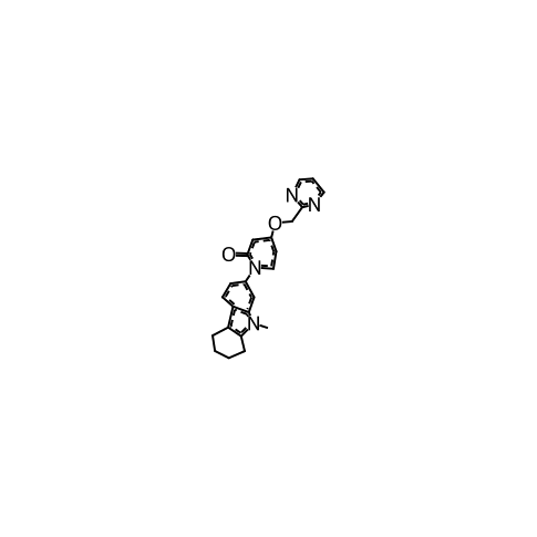 Cn1c2c(c3ccc(-n4ccc(OCc5ncccn5)cc4=O)cc31)CCCC2